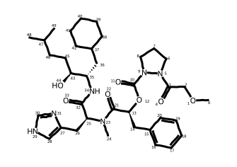 COCC(=O)N1CCCN1C(=O)O[C@@H](Cc1ccccc1)C(=O)N(C)[C@@H](Cc1c[nH]cn1)C(=O)N[C@@H](CC1CCCCC1)[C@@H](O)CCC(C)C